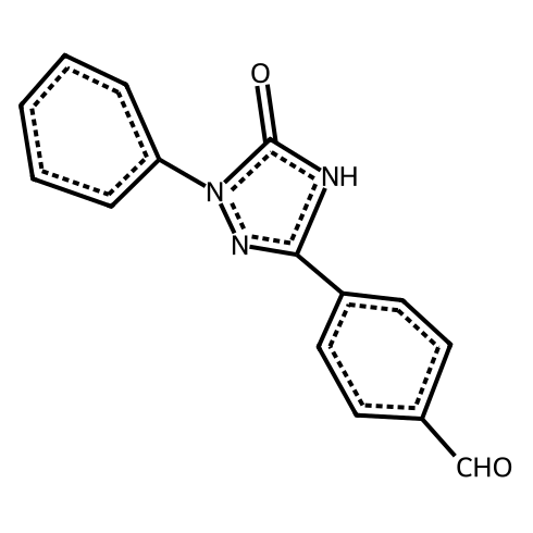 O=Cc1ccc(-c2nn(-c3ccccc3)c(=O)[nH]2)cc1